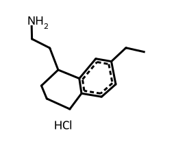 CCc1ccc2c(c1)C(CCN)CCC2.Cl